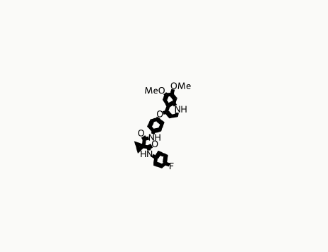 COc1cc2c(cc1OC)C(Oc1ccc(NC(=O)C3(C(=O)Nc4ccc(F)cc4)CC3)cc1)=CCN2